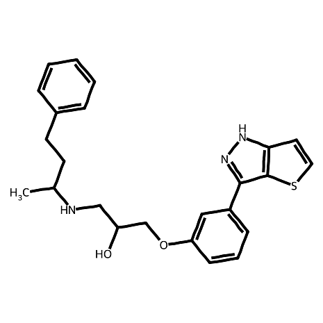 CC(CCc1ccccc1)NCC(O)COc1cccc(-c2n[nH]c3ccsc23)c1